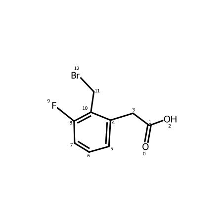 O=C(O)Cc1cccc(F)c1CBr